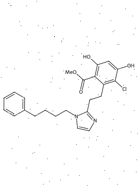 COC(=O)c1c(O)cc(O)c(Cl)c1CCc1nccn1CCCCc1ccccc1